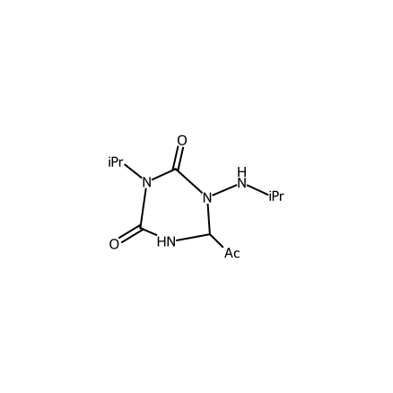 CC(=O)C1NC(=O)N(C(C)C)C(=O)N1NC(C)C